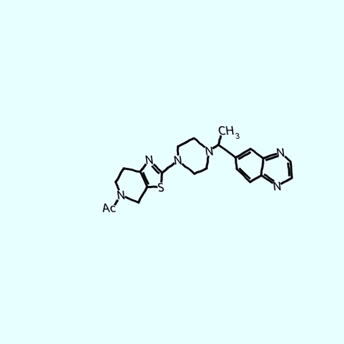 CC(=O)N1CCc2nc(N3CCN(C(C)c4ccc5nccnc5c4)CC3)sc2C1